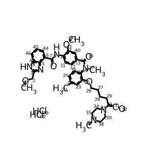 COCc1nc2c(C(=O)Nc3ccc(C(=O)N(C)c4ccc(C)cc4OCCCCC(=C=O)N4CCN(C)CC4)cc3OC)cccc2[nH]1.Cl.Cl